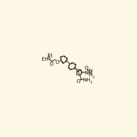 CCN(CC)C(=O)COc1cccc(-c2ccc(-n3cc(NC(N)=O)c(C(N)=O)n3)cc2)c1